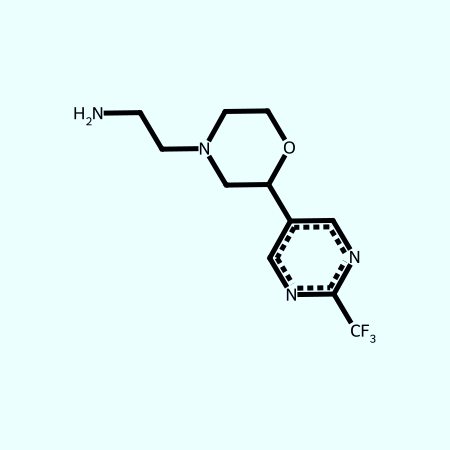 NCCN1CCOC(c2cnc(C(F)(F)F)nc2)C1